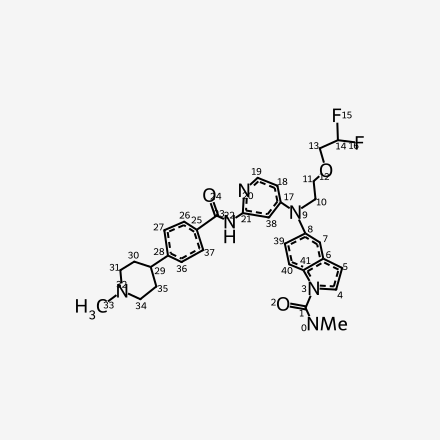 CNC(=O)n1ccc2cc(N(CCOCC(F)F)c3ccnc(NC(=O)c4ccc(C5CCN(C)CC5)cc4)c3)ccc21